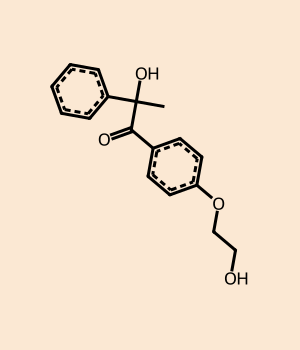 CC(O)(C(=O)c1ccc(OCCO)cc1)c1ccccc1